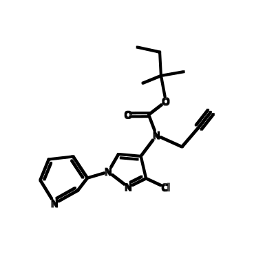 C#CCN(C(=O)OC(C)(C)CC)c1cn(-c2cccnc2)nc1Cl